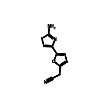 N#CCc1ccc(-c2csc(N)n2)o1